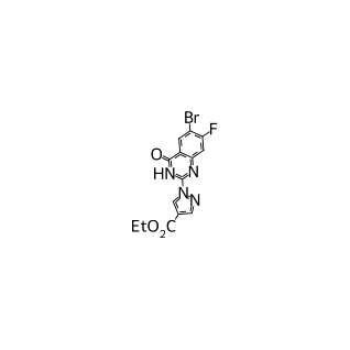 CCOC(=O)c1cnn(-c2nc3cc(F)c(Br)cc3c(=O)[nH]2)c1